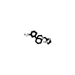 Nc1cccc(C23CCCC(C2)N(Cc2ncc[nH]2)CC3)c1